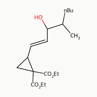 CCCCC(C)C(O)C=CC1CC1(C(=O)OCC)C(=O)OCC